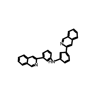 c1cc(Nc2cccc(-c3cc4ccccc4cn3)c2)cc(-c2cc3ccccc3cn2)c1